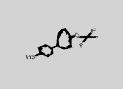 FC(F)(F)Oc1ccc(-c2ccc(S)cc2)cc1